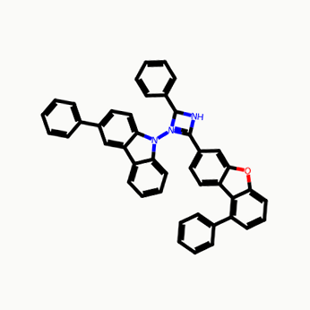 c1ccc(-c2ccc3c(c2)c2ccccc2n3[N+]2=C(c3ccc4c(c3)oc3cccc(-c5ccccc5)c34)NC2c2ccccc2)cc1